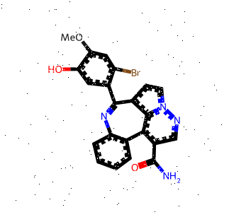 COc1cc(Br)c(C2=Nc3ccccc3-c3c(C(N)=O)cnn4ccc2c34)cc1O